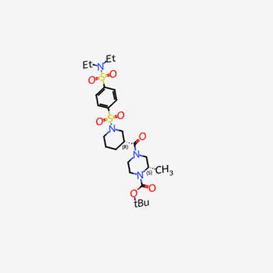 CCN(CC)S(=O)(=O)c1ccc(S(=O)(=O)N2CCC[C@@H](C(=O)N3CCN(C(=O)OC(C)(C)C)[C@@H](C)C3)C2)cc1